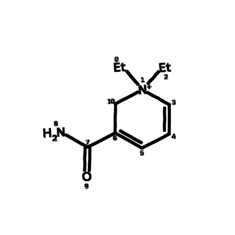 CC[N+]1(CC)C=CC=C(C(N)=O)C1